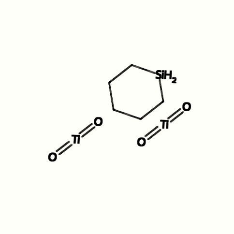 C1CC[SiH2]CC1.[O]=[Ti]=[O].[O]=[Ti]=[O]